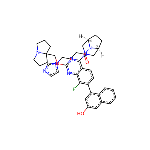 O=C(CCCn1ccnc1)N1[C@@H]2CC[C@H]1CN(c1nc(OCC34CCCN3CCC4)nc3c(F)c(-c4cc(O)cc5ccccc45)ccc13)C2